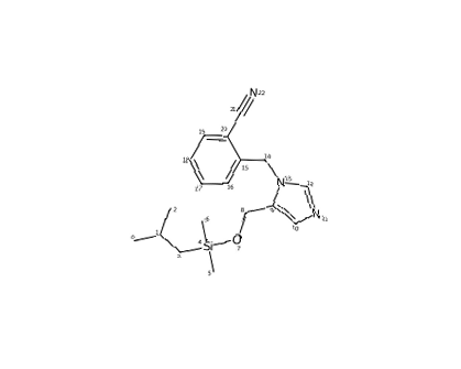 CC(C)C[Si](C)(C)OCc1cncn1Cc1ccccc1C#N